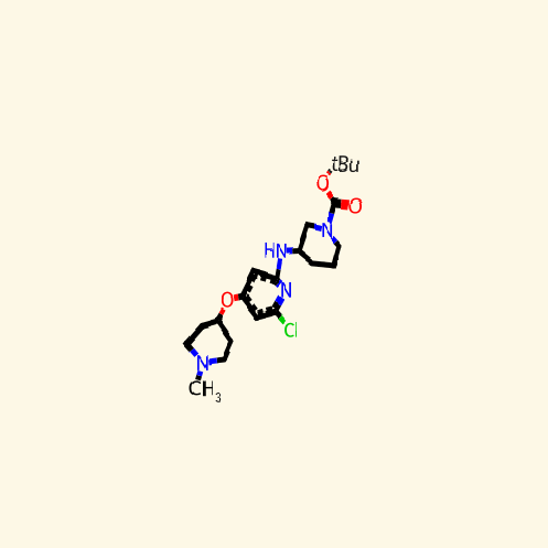 CN1CCC(Oc2cc(Cl)nc(NC3CCCN(C(=O)OC(C)(C)C)C3)c2)CC1